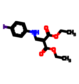 CCOC(=O)C(=CNc1ccc(I)cc1)C(=O)OCC